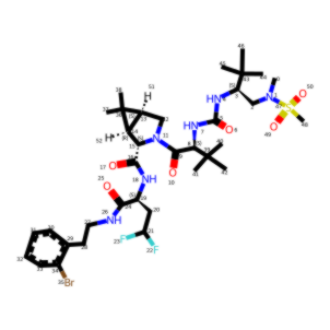 CN(C[C@@H](NC(=O)N[C@H](C(=O)N1C[C@H]2[C@@H]([C@H]1C(=O)N[C@@H](CC(F)F)C(=O)NCCc1ccccc1Br)C2(C)C)C(C)(C)C)C(C)(C)C)S(C)(=O)=O